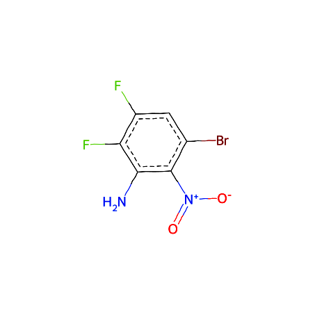 Nc1c(F)c(F)cc(Br)c1[N+](=O)[O-]